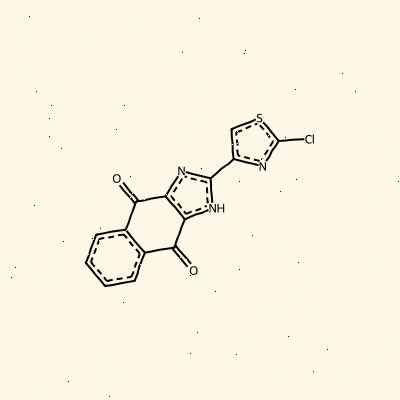 O=C1c2ccccc2C(=O)c2[nH]c(-c3csc(Cl)n3)nc21